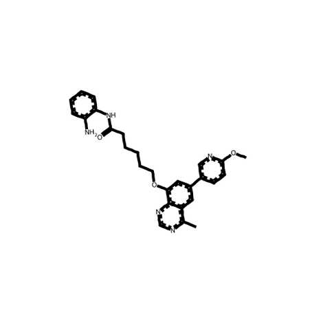 COc1ccc(-c2cc(OCCCCCC(=O)Nc3ccccc3N)c3ncnc(C)c3c2)cn1